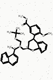 COC(=O)c1ccc(OC)c(C2C[C@H](CN(COC(C)(C)C)[C@H](C)c3cccc4ccccc34)Oc3ccccc32)c1